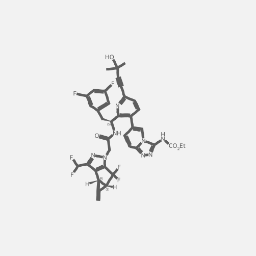 C=C1[C@@H]2c3c(C(F)F)nn(CC(=O)N[C@@H](Cc4cc(F)cc(F)c4)c4nc(C#CC(C)(C)O)ccc4-c4ccc5nnc(NC(=O)OCC)n5c4)c3C(F)(F)[C@H]12